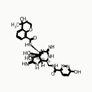 CC1(C)CCOc2c(C(=O)N[C@H]3CN4C(=N)N[C@@H](CNC(=O)c5ccc(O)nn5)[C@@H]5NC(=N)N[C@@]54C3(O)O)cccc21